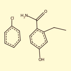 CCc1cc(O)ccc1C(N)=O.Clc1ccccc1